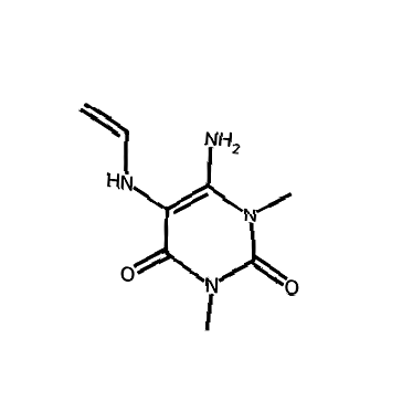 C=CNc1c(N)n(C)c(=O)n(C)c1=O